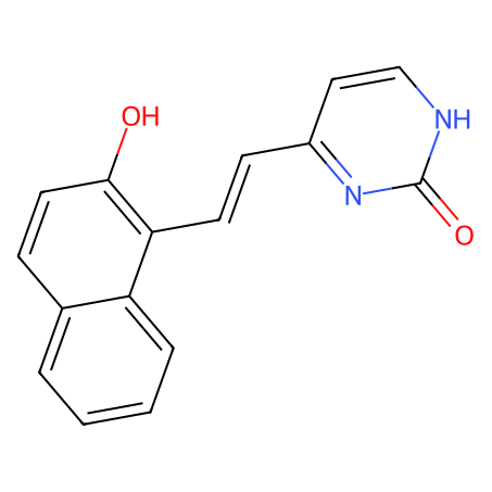 O=c1nc(C=Cc2c(O)ccc3ccccc23)cc[nH]1